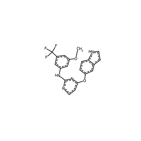 COc1cc(Nc2nccc(Oc3ccc4[nH]ccc4c3)n2)cc(C(F)(F)F)c1